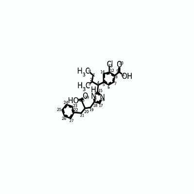 CCC(C)C(c1ccc(C(=O)O)c(Cl)c1)c1ncc(CC(Cc2ccccc2)C(=O)O)[nH]1